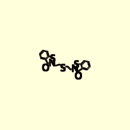 O=c1c2ccccc2sn1CCSCCn1sc2ccccc2c1=O